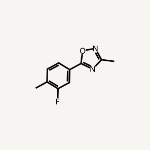 Cc1noc(-c2ccc(C)c(F)c2)n1